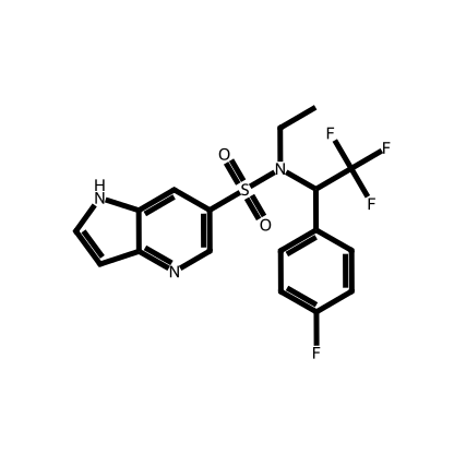 CCN(C(c1ccc(F)cc1)C(F)(F)F)S(=O)(=O)c1cnc2cc[nH]c2c1